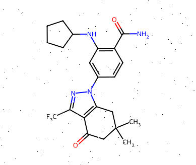 CC1(C)CC(=O)c2c(C(F)(F)F)nn(-c3ccc(C(N)=O)c(NC4CCCC4)c3)c2C1